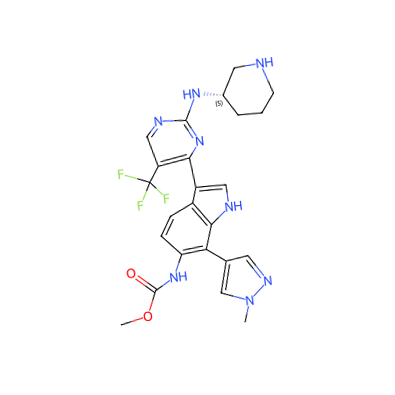 COC(=O)Nc1ccc2c(-c3nc(N[C@H]4CCCNC4)ncc3C(F)(F)F)c[nH]c2c1-c1cnn(C)c1